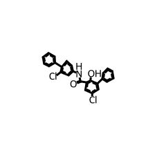 O=C(Nc1ccc(-c2ccccc2)c(Cl)c1)c1cc(Cl)cc(-c2ccccc2)c1O